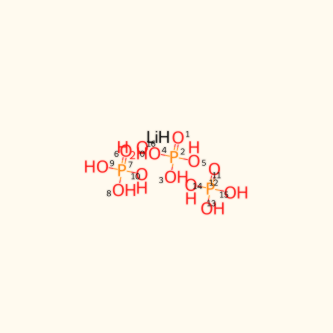 O.O=P(O)(O)O.O=P(O)(O)O.O=P(O)(O)O.[LiH]